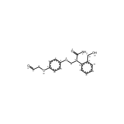 NC(=O)N(COc1ccc(OC[C]=O)cc1)c1ccccc1CO